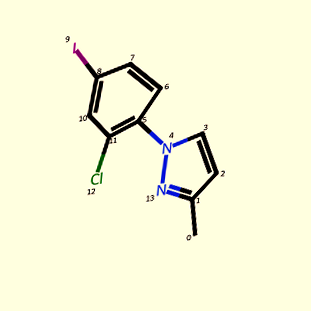 Cc1ccn(-c2ccc(I)cc2Cl)n1